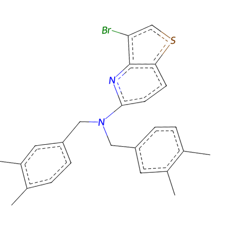 Cc1ccc(CN(Cc2ccc(C)c(C)c2)c2ccc3scc(Br)c3n2)cc1C